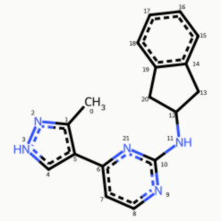 Cc1n[nH]cc1-c1ccnc(NC2Cc3ccccc3C2)n1